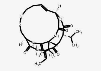 C/C=C1\NC(=O)[C@H]2CSSCC/C=C/[C@H](CC(=O)N[C@H](C(C)C)C(=O)N2)OC(=O)[C@H](C(C)C)CC1=O